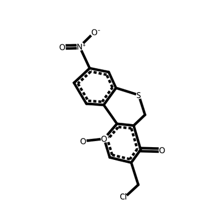 O=c1c(CCl)c[o+]([O-])c2c1CSc1cc([N+](=O)[O-])ccc1-2